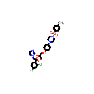 Cc1ccc(S(=O)(=O)N2CCN(c3ccc(OCC4COC(Cn5ccnc5)(c5ccc(Cl)cc5Cl)O4)cc3)CC2)cc1